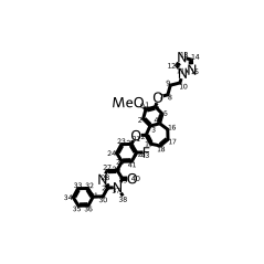 COc1cc2c(cc1OCCCn1cncn1)CC=CC=C2Oc1ccc(-c2cnc(Cc3ccccc3)n(C)c2=O)cc1F